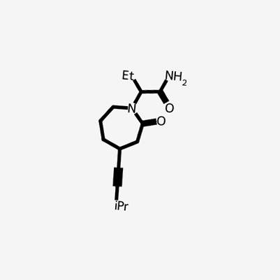 CCC(C(N)=O)N1CCCC(C#CC(C)C)CC1=O